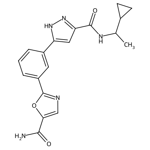 CC(NC(=O)c1cc(-c2cccc(-c3ncc(C(N)=O)o3)c2)[nH]n1)C1CC1